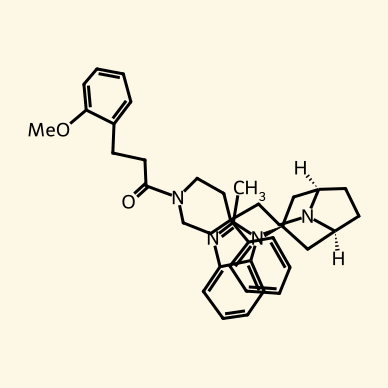 COc1ccccc1CCC(=O)N1CCC(CCN2[C@@H]3CC[C@H]2C[C@@H](n2c(C)nc4ccccc42)C3)(c2ccccc2)CC1